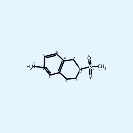 CS(=O)(=O)N1CCc2cc(N)ccc2C1